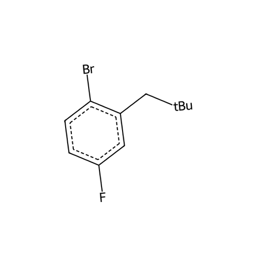 CC(C)(C)Cc1cc(F)ccc1Br